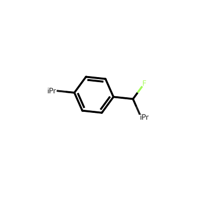 CC(C)c1ccc(C(F)C(C)C)cc1